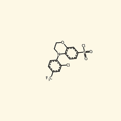 O=S(=O)(Cl)c1ccc2c(c1)OCCN2c1ccc(C(F)(F)F)cc1Cl